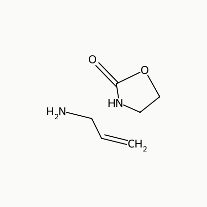 C=CCN.O=C1NCCO1